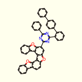 c1ccc(-c2ccc(-c3ccccc3-c3nc(-c4ccccc4)nc(-c4cc5oc6ccc7c8ccccc8oc7c6c5c5c4oc4ccccc45)n3)cc2)cc1